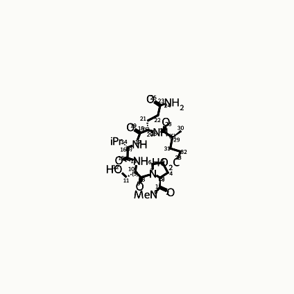 CNC(=O)[C@@H]1CCCN1C(=O)[C@H](CO)NC(=O)[C@@H](NC(=O)[C@H](CCC(N)=O)NC(=O)[C@@H](C)CCC(=O)O)C(C)C